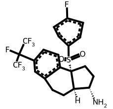 N[C@H]1CC[C@]2(S(=O)(=O)c3ccc(F)cc3)c3ccc(C(F)(C(F)(F)F)C(F)(F)F)cc3CC[C@H]12